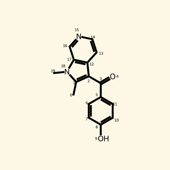 Cc1c(C(=O)c2ccc(O)cc2)c2ccncc2n1C